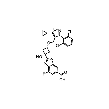 O=C(O)c1cc(F)c2nc([C@]3(O)C[C@@H](OCc4c(-c5c(Cl)cccc5Cl)noc4C4CC4)C3)sc2c1